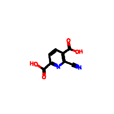 N#Cc1nc(C(=O)O)ccc1C(=O)O